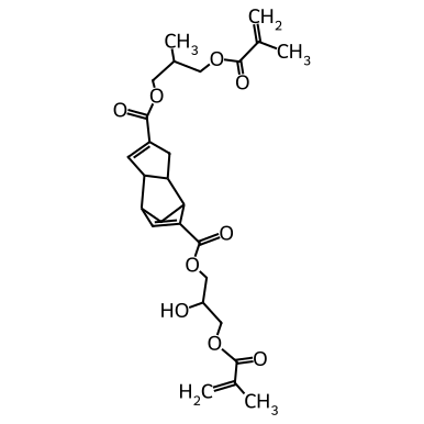 C=C(C)C(=O)OCC(C)COC(=O)C1=CC2C3C=C(C(=O)OCC(O)COC(=O)C(=C)C)C(C3)C2C1